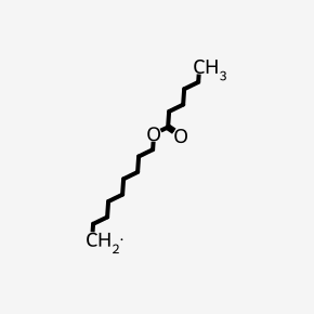 [CH2]CCCCCCCCOC(=O)CCCCC